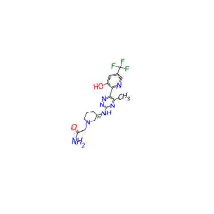 Cc1nc(N[C@@H]2CCCN(CC(N)=O)C2)nnc1-c1ncc(C(F)(F)F)cc1O